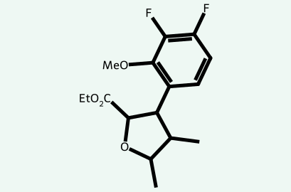 CCOC(=O)C1OC(C)C(C)C1c1ccc(F)c(F)c1OC